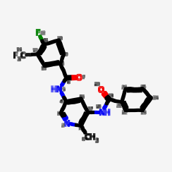 Cc1ncc(NC(=O)c2ccc(F)c(C(F)(F)F)c2)cc1NC(=O)c1ccccc1